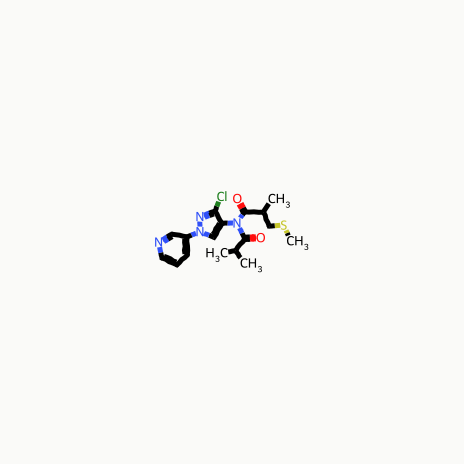 CSCC(C)C(=O)N(C(=O)C(C)C)c1cn(-c2cccnc2)nc1Cl